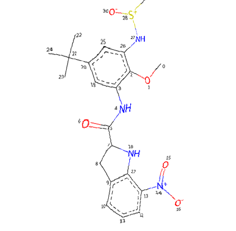 COc1c(NC(=O)C2Cc3cccc([N+](=O)[O-])c3N2)cc(C(C)(C)C)cc1N[S+](C)[O-]